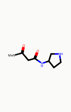 CNC(=O)CC(=O)NC1CCNC1